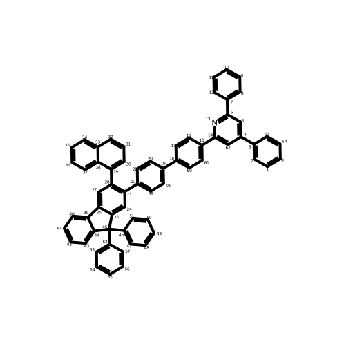 c1ccc(-c2cc(-c3ccccc3)nc(-c3ccc(-c4ccc(-c5cc6c(cc5-c5cccc7ccccc57)-c5ccccc5C6(c5ccccc5)c5ccccc5)cc4)cc3)c2)cc1